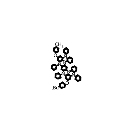 Cc1ccc(Oc2cc3c4c(c2)N(c2ccccc2)c2cc5c(cc2B4c2ccccc2N3c2ccccc2)B2c3ccccc3N(c3ccccc3)c3cc(Oc4ccc(C(C)(C)C)cc4)cc(c32)N5c2ccccc2)cc1